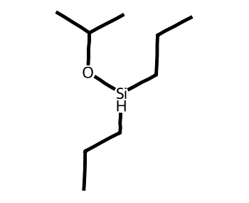 CCC[SiH](CCC)OC(C)C